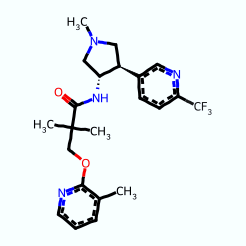 Cc1cccnc1OCC(C)(C)C(=O)N[C@@H]1CN(C)C[C@H]1c1ccc(C(F)(F)F)nc1